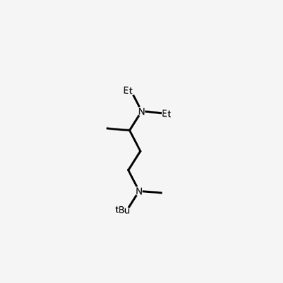 CCN(CC)C(C)CCN(C)C(C)(C)C